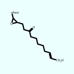 CCCCCC1OC1CCC(=O)CCCCC/C=C/C(=O)O